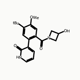 COc1cc(C(=O)N2CC(O)C2)c(-c2ccc[nH]c2=O)cc1C(C)(C)C